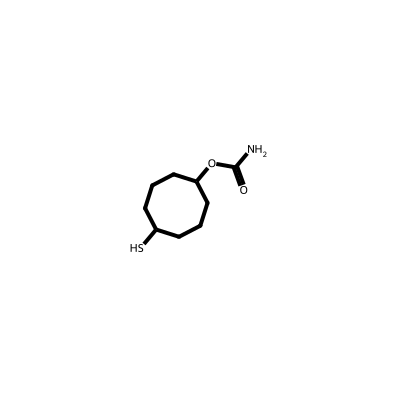 NC(=O)OC1CCCC(S)CCC1